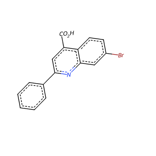 O=C(O)c1cc(-c2ccccc2)nc2cc(Br)ccc12